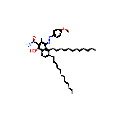 CCCCCCCCCCCCc1ccc2c(O)c(C(N)=O)c(C)c(N=Nc3ccc(OC)cc3)c2c1CCCCCCCCCCCC